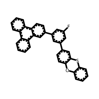 Fc1cc(-c2ccc3c(c2)Sc2ccccc2O3)cc(-c2ccc3c4ccccc4c4ccccc4c3c2)c1